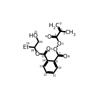 C=C(C)C(=O)OOC(=O)c1ccccc1C(=O)OC(CC)CO